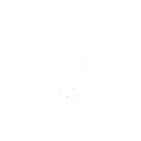 c1ccc(-n2c3ccccc3c3ccc4ccc5c6cc(-n7c8ccccc8c8c9ccccc9c9ccccc9c87)ccc6sc5c4c32)cc1